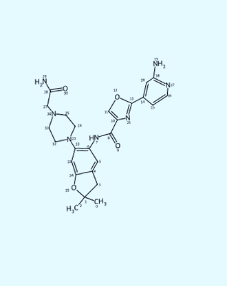 CC1(C)Cc2cc(NC(=O)c3coc(-c4ccnc(N)c4)n3)c(N3CCN(CC(N)=O)CC3)cc2O1